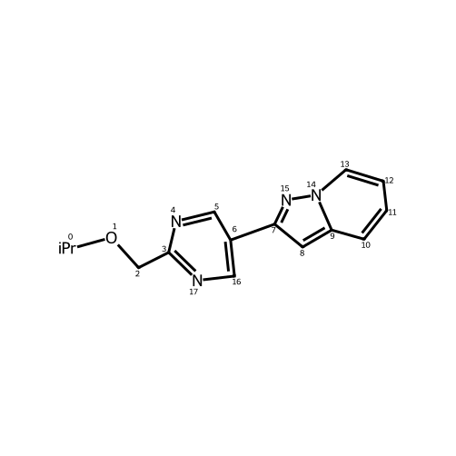 CC(C)OCc1ncc(-c2cc3ccccn3n2)cn1